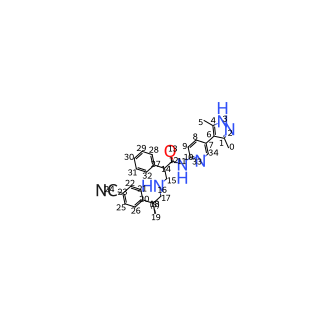 Cc1n[nH]c(C)c1-c1ccc(NC(=O)C(CNC[C@@H](C)c2ccc(C#N)cc2)c2ccccc2)nc1